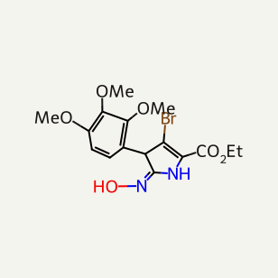 CCOC(=O)C1=C(Br)C(c2ccc(OC)c(OC)c2OC)/C(=N\O)N1